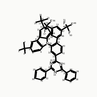 CC(C)(C)c1ccc2c(c1)c1cc(C(C)(C)C)ccc1n2-c1cc(-c2nc(-c3ccccc3)nc(-c3ccccc3)n2)ccc1-c1cc(C(F)(F)F)cc(C(F)(F)F)c1